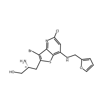 N[C@@H](CO)Cc1sc2c(NCc3ccco3)cc(Cl)nc2c1Br